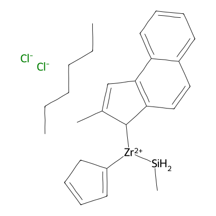 CCCCCC.C[SiH2][Zr+2]([C]1=CC=CC1)[CH]1C(C)=Cc2c1ccc1ccccc21.[Cl-].[Cl-]